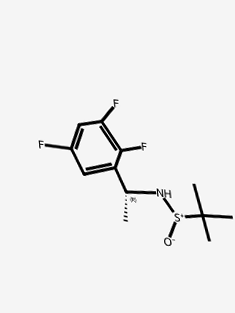 C[C@@H](N[S+]([O-])C(C)(C)C)c1cc(F)cc(F)c1F